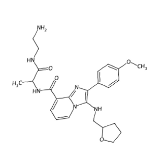 COc1ccc(-c2nc3c(C(=O)NC(C)C(=O)NCCN)cccn3c2NCC2CCCO2)cc1